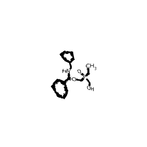 CCP(=O)(CO)CO.c1ccc(CNCc2ccccc2)cc1